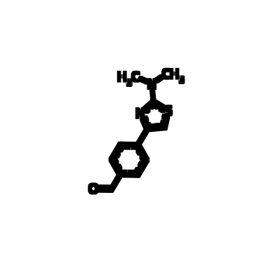 CN(C)c1nc(-c2ccc(C=O)cc2)cs1